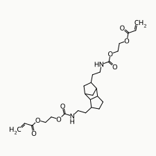 C=CC(=O)OCCOC(=O)NCCC1CC2CC1C1CCC(CCNC(=O)OCCOC(=O)C=C)C21